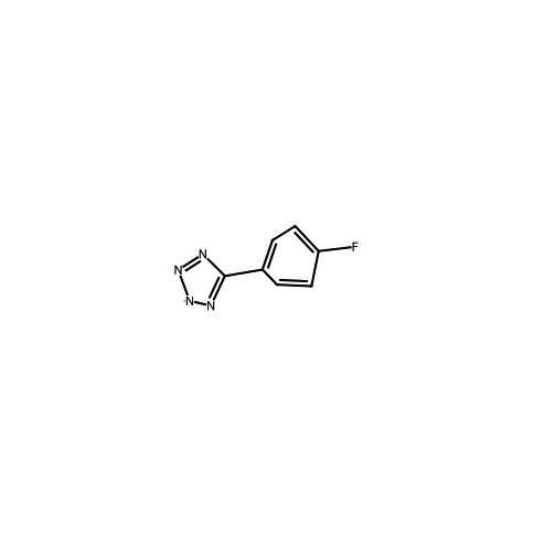 Fc1ccc(C2=N[N]N=N2)cc1